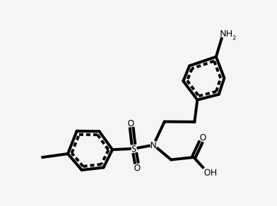 Cc1ccc(S(=O)(=O)N(CCc2ccc(N)cc2)CC(=O)O)cc1